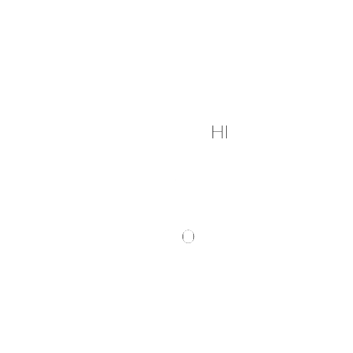 I.O=C1CC=CC1